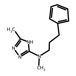 Cc1nnc(N(C)CCCc2ccccc2)[nH]1